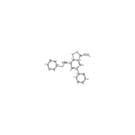 CN1CCc2c(NCc3ccccc3)nc(-c3ccccc3)nc21